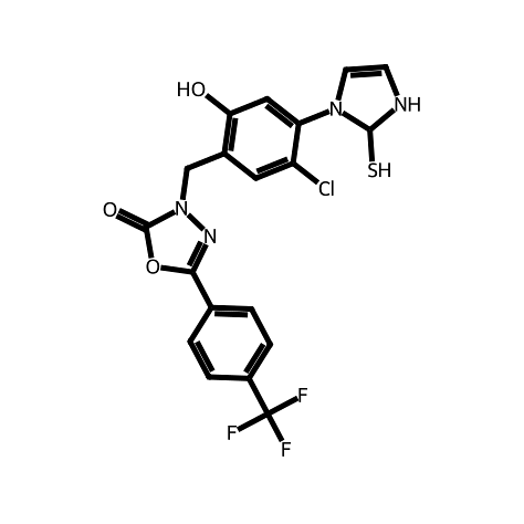 O=c1oc(-c2ccc(C(F)(F)F)cc2)nn1Cc1cc(Cl)c(N2C=CNC2S)cc1O